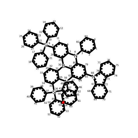 c1ccc(N2c3ccc([Si](c4ccccc4)(c4ccccc4)c4ccccc4)cc3B3c4cccc([Si](c5ccccc5)(c5ccccc5)c5ccccc5)c4N(c4ccccc4)c4cc(-n5c6ccccc6c6ccccc65)cc2c43)cc1